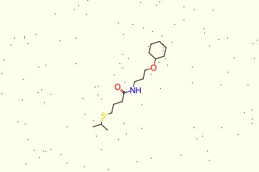 CC(C)SCCCC(=O)NCCCOC1CCCCC1